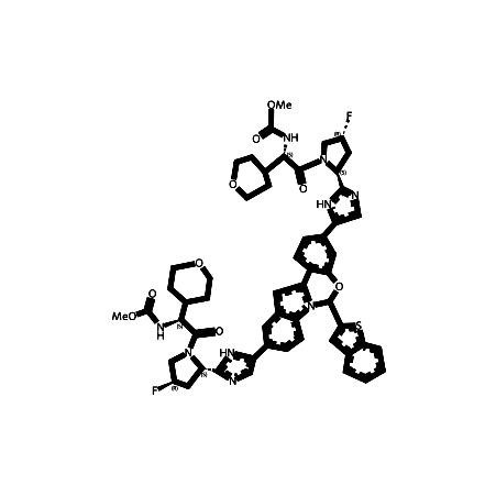 COC(=O)N[C@H](C(=O)N1C[C@H](F)C[C@H]1c1ncc(-c2ccc3c(c2)OC(c2cc4ccccc4s2)n2c-3cc3cc(-c4cnc([C@@H]5C[C@@H](F)CN5C(=O)[C@@H](NC(=O)OC)C5CCOCC5)[nH]4)ccc32)[nH]1)C1CCOCC1